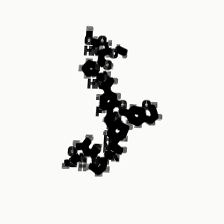 CCO[C@H](C)[C@H](NC(=O)OC)C(=O)N1CCC[C@H]1c1ncc(-c2cc(F)c3c(c2)OC(c2ccc4c(c2)OCCC4)n2c-3cc3cc(-c4cnc([C@@H]5CCCN5C(=O)[C@@H](NC(=O)OC)C(C)C)[nH]4)ccc32)[nH]1